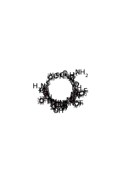 NCCCC[C@@H]1NC(=O)CCSCc2cccc(c2)CSC[C@@H](C(N)=O)NC(=O)[C@@H]2C[C@H](c3ccccc3)CN2C(=O)[C@H](Cc2ccc(O)cc2)NC(=O)[C@H](Cc2cnc[nH]2)NC(=O)[C@H](CC(=O)O)NC(=O)[C@H](Cc2c[nH]c3ccc(F)cc23)NC(=O)[C@H](Cc2c[nH]c3ccc(F)cc23)NC(=O)CNC1=O